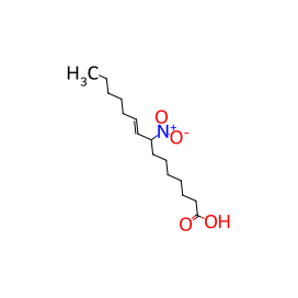 CCCCCC=CC(CCCCCCC(=O)O)[N+](=O)[O-]